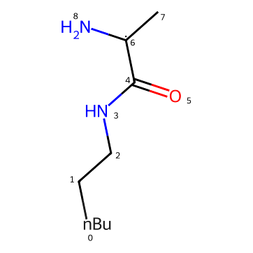 CCCCCCNC(=O)[C](C)N